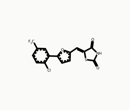 O=C1NC(=O)C(=Cc2ccc(-c3cc(C(F)(F)F)ccc3Cl)o2)S1